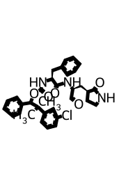 CC(C)(c1cccc(Cl)c1)C(OC(=O)N[C@@H](Cc1ccccc1)C(=O)N[C@H](C=O)C[C@@H]1CCNC1=O)c1ccccc1